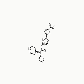 COC(=O)c1ccc(-c2ccn(CC(=O)N(c3ccccc3)N3CCOCC3)n2)s1